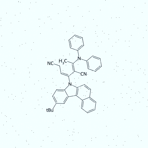 C/C(=C(C#N)\C(=C/CC#N)n1c2ccc(C(C)(C)C)cc2c2c3ccccc3ccc21)N(c1ccccc1)c1ccccc1